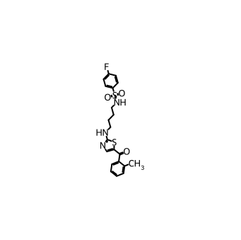 Cc1ccccc1C(=O)c1cnc(NCCCCNS(=O)(=O)c2ccc(F)cc2)s1